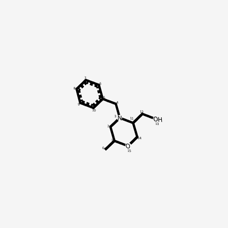 CC1CN(Cc2ccccc2)C(CO)CO1